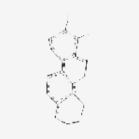 Fc1ccc2c(c1F)=CCc1c3c(ccc1=2)=CCCC3